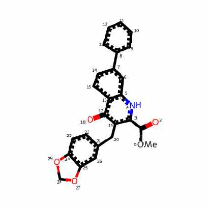 COC(=O)c1[nH]c2cc(-c3ccccc3)ccc2c(=O)c1Cc1ccc2c(c1)OCO2